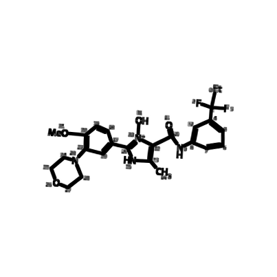 CCC(F)(F)c1cccc(NC(=O)c2c(C)[nH]c(-c3ccc(OC)c(N4CCOCC4)c3)[n+]2O)c1